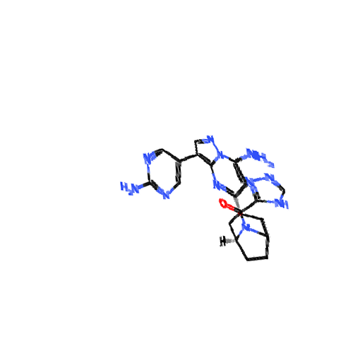 Nc1ncc(-c2cnn3c(N)cc([C@@H]4CC5CC[C@@H](C4)N5C(=O)c4nnc[nH]4)nc23)cn1